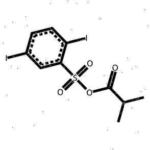 CC(C)C(=O)OS(=O)(=O)c1cc(I)ccc1I